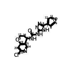 O=C(Nc1nnc(-c2ccncc2)[nH]1)NC1CCOc2cc(Cl)ncc21